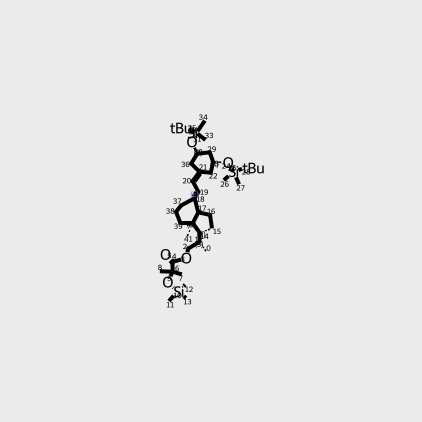 C[C@H](COC(=O)C(C)(C)O[Si](C)(C)C)[C@H]1CCC2/C(=C/C=C3C[C@@H](O[Si](C)(C)C(C)(C)C)C[C@H](O[Si](C)(C)C(C)(C)C)C3)CCC[C@@]21C